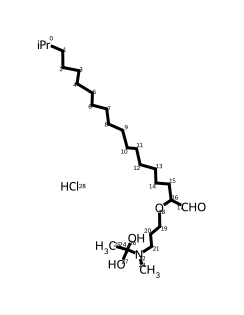 CC(C)CCCCCCCCCCCCCCCC(C=O)OCCCN(C)C(C)(O)O.Cl